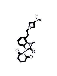 CNC1CN(CCc2cccc3c2n(C)c(=O)n3N2C(=O)CCCC2=O)C1